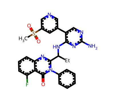 CCC(Nc1nc(N)ncc1-c1cncc(S(C)(=O)=O)c1)c1nc2cccc(F)c2c(=O)n1-c1ccccc1